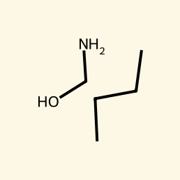 CCCC.NCO